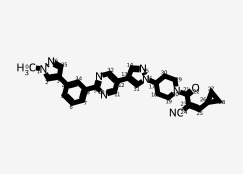 Cn1cc(-c2cccc(-c3ncc(-c4cnn(C5CCN(C(=O)/C(C#N)=C\C6CC6)CC5)c4)cn3)c2)cn1